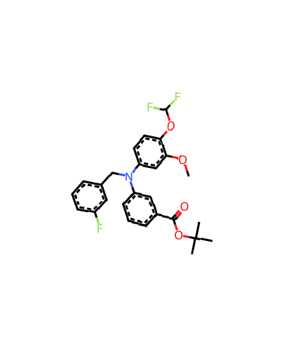 COc1cc(N(Cc2cccc(F)c2)c2cccc(C(=O)OC(C)(C)C)c2)ccc1OC(F)F